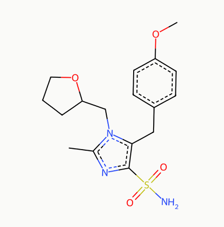 COc1ccc(Cc2c(S(N)(=O)=O)nc(C)n2CC2CCCO2)cc1